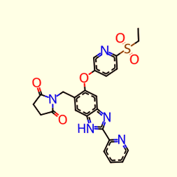 CCS(=O)(=O)c1ccc(Oc2cc3nc(-c4ccccn4)[nH]c3cc2CN2C(=O)CCC2=O)cn1